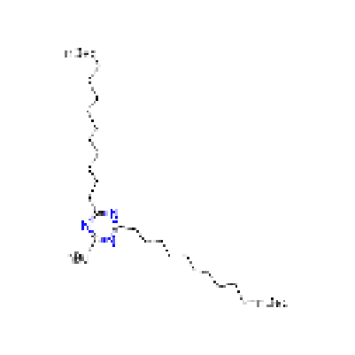 [CH2]CCCc1nc(CCCCCCCCCCCCCCCCCCCC)nc(CCCCCCCCCCCCCCCCCCCC)n1